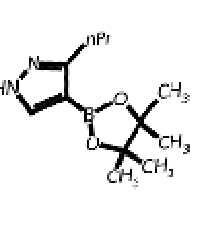 CCCc1n[nH]cc1B1OC(C)(C)C(C)(C)O1